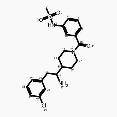 CS(=O)(=O)Nc1cccc(C(=O)N2CCC(C(N)Cc3cccc(Cl)c3)CC2)c1